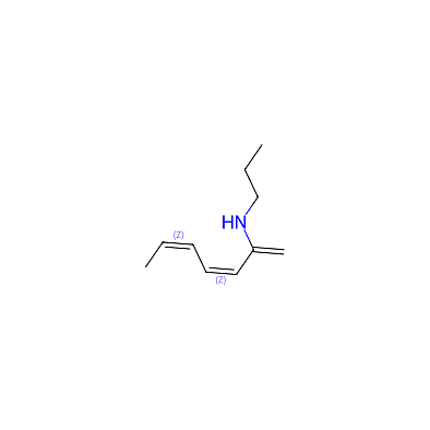 C=C(/C=C\C=C/C)NCCC